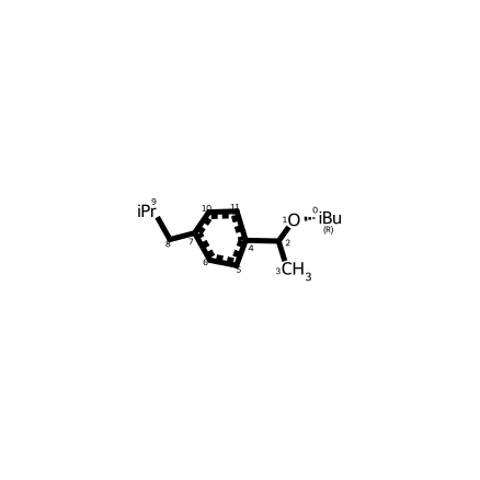 CC[C@@H](C)OC(C)c1ccc(CC(C)C)cc1